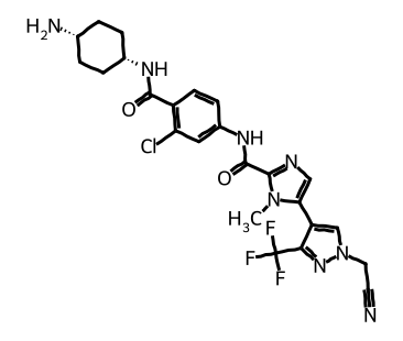 Cn1c(-c2cn(CC#N)nc2C(F)(F)F)cnc1C(=O)Nc1ccc(C(=O)N[C@H]2CC[C@@H](N)CC2)c(Cl)c1